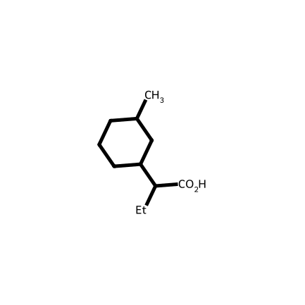 CCC(C(=O)O)C1CCCC(C)C1